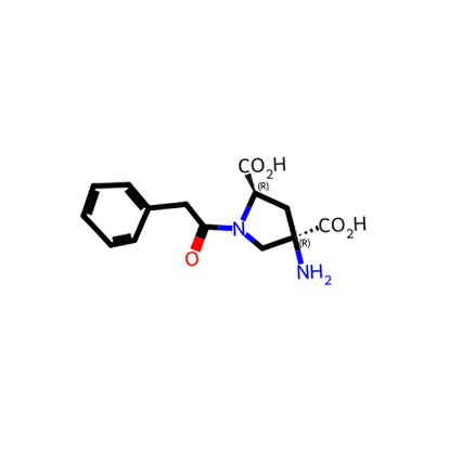 N[C@]1(C(=O)O)C[C@H](C(=O)O)N(C(=O)Cc2ccccc2)C1